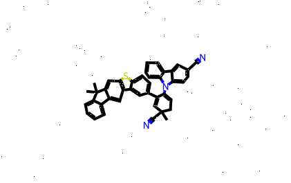 CC1(C#N)C=C(c2ccc3sc4cc5c(cc4c3c2)-c2ccccc2C5(C)C)C(n2c3ccccc3c3cc(C#N)ccc32)=CC1